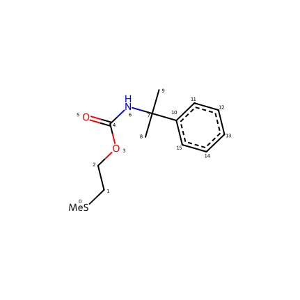 CSCCOC(=O)NC(C)(C)c1ccccc1